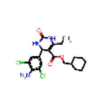 CCC1=C(C(=O)OCC2CCCCC2)C(c2cc(Cl)c(N)c(Cl)c2)NC(=O)N1